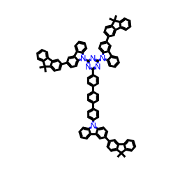 CC1(C)c2ccccc2-c2cc(-c3ccc4c(c3)c3ccccc3n4-c3ccc(-c4ccc(-c5ccc(-c6nc(-n7c8ccccc8c8cc(-c9ccc%10c(c9)-c9ccccc9C%10(C)C)ccc87)nc(-n7c8ccccc8c8cc(-c9ccc%10c(c9)-c9ccccc9C%10(C)C)ccc87)n6)cc5)cc4)cc3)ccc21